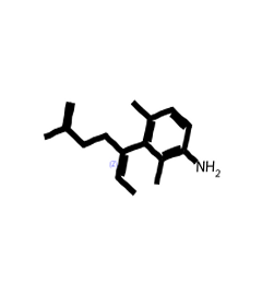 C=C(C)CC/C(=C/C)c1c(C)ccc(N)c1C